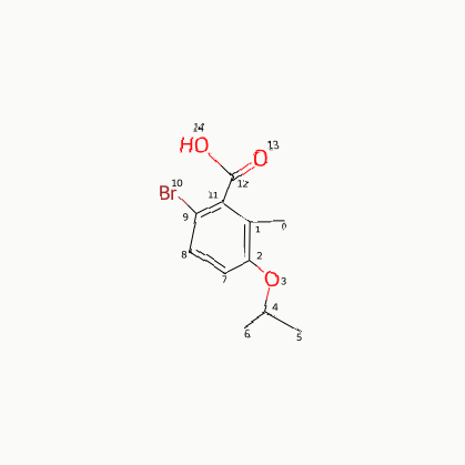 Cc1c(OC(C)C)ccc(Br)c1C(=O)O